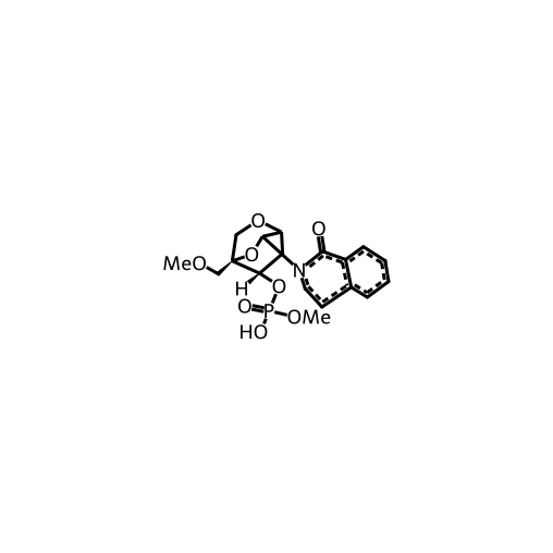 COC[C@]12COC(C[C@@H]1OP(=O)(O)OC)C(n1ccc3ccccc3c1=O)O2